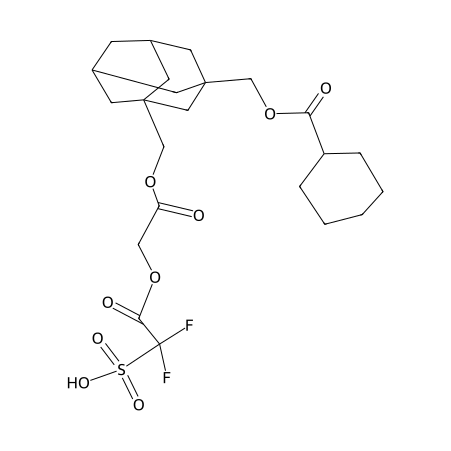 O=C(COC(=O)C(F)(F)S(=O)(=O)O)OCC12CC3CC(C1)CC(COC(=O)C1CCCCC1)(C3)C2